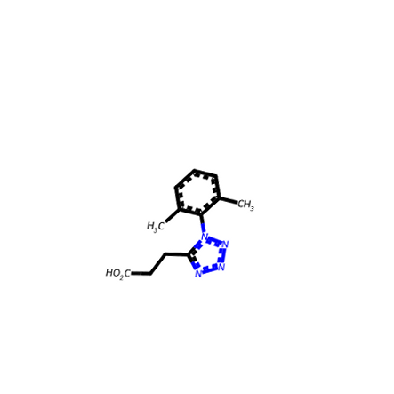 Cc1cccc(C)c1-n1nnnc1CCC(=O)O